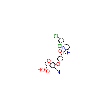 N#Cc1cc2c(cc1Oc1ccc(C(=O)Nc3cccc(-c4ccc(Cl)cc4Cl)n3)cc1)OCCC2C(=O)O